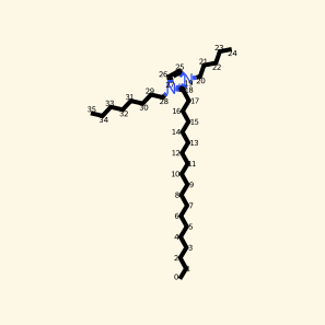 CCCCCCCCCCCCCCCCCCc1n(CCCCC)cc[n+]1CCCCCCCC